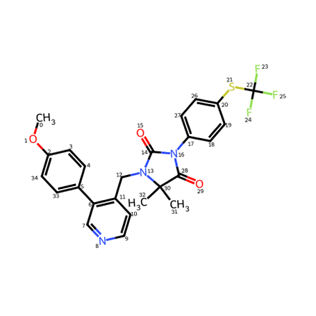 COc1ccc(-c2cnccc2CN2C(=O)N(c3ccc(SC(F)(F)F)cc3)C(=O)C2(C)C)cc1